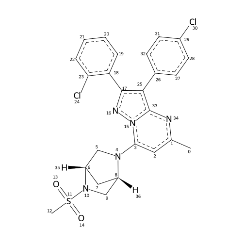 Cc1cc(N2C[C@@H]3C[C@H]2CN3S(C)(=O)=O)n2nc(-c3ccccc3Cl)c(-c3ccc(Cl)cc3)c2n1